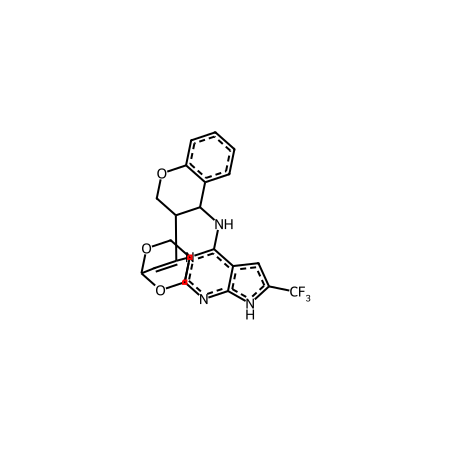 FC(F)(F)c1cc2c(NC3c4ccccc4OCC3C3=CC4OCC3CO4)ncnc2[nH]1